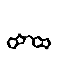 c1ccc2c(c1)C[N+](Cc1ccc3occc3c1)=N2